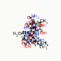 CC(C)C[C@H](NC(=O)[C@H](C)NC(=O)[C@H](C[C@@H](C)O)NC(=O)[C@H](CCC(N)=O)NC(=O)[C@H](C[C@@H](C)O)NC(=O)[C@H](CO)NC(=O)[C@@H](NC(=O)[C@@H](NC(=O)[C@@H](N)CC(C)C)C(C)C)C(C)C)C(=O)N[C@@H](C)C(=O)O